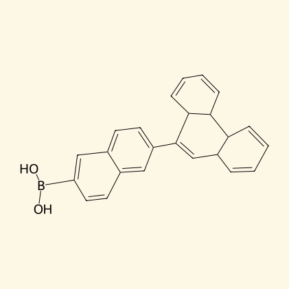 OB(O)c1ccc2cc(C3=CC4C=CC=CC4C4C=CC=CC34)ccc2c1